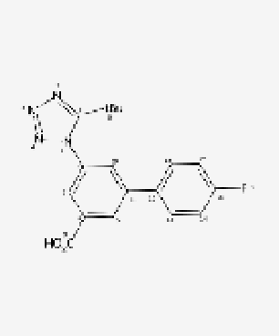 CC(C)(C)c1nnnn1-c1cc(C(=O)O)cc(-c2ccc(F)cc2)c1